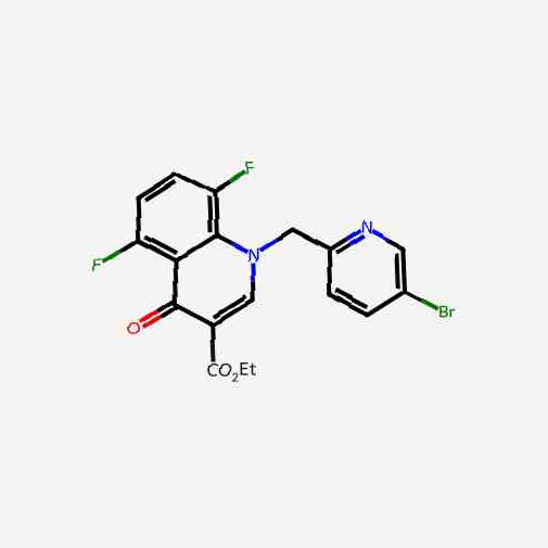 CCOC(=O)c1cn(Cc2ccc(Br)cn2)c2c(F)ccc(F)c2c1=O